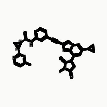 Cc1ccnc([C@H]2C[C@@H]2C(=O)Nc2cc(C#Cc3cn4cc(C5CC5)cc(N5CC(=O)N(C)C5=O)c4n3)ccn2)n1